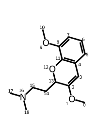 COC1=Cc2cccc(OC)c2OC1CCN(C)C